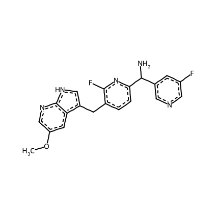 COc1cnc2[nH]cc(Cc3ccc(C(N)c4cncc(F)c4)nc3F)c2c1